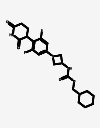 O=C1CCC(c2c(F)cc(N3CC(NC(=O)OCC4CCCCC4)C3)cc2F)C(=O)N1